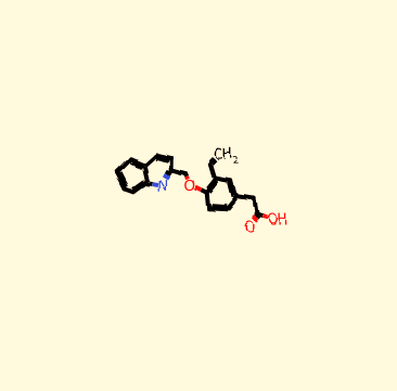 C=Cc1cc(CC(=O)O)ccc1OCc1ccc2ccccc2n1